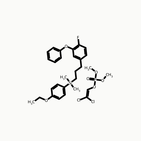 CCOc1ccc([Si](C)(C)CCCc2ccc(F)c(Oc3ccccc3)c2)cc1.COP(=O)(OC)OC=C(Cl)Cl